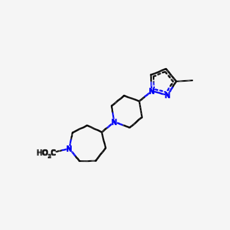 Cc1ccn(C2CCN(C3CCCN(C(=O)O)CC3)CC2)n1